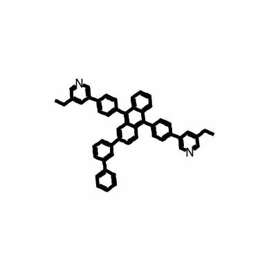 CCc1cncc(-c2ccc(-c3c4ccccc4c(-c4ccc(-c5cncc(CC)c5)cc4)c4cc(-c5cccc(-c6ccccc6)c5)ccc34)cc2)c1